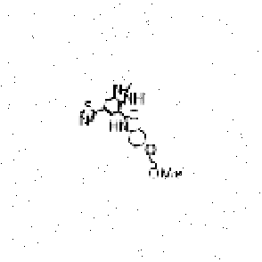 COCCO[C@H]1CC[C@H](NC(=O)c2cc(-c3cncs3)cc3nc(C)[nH]c23)CC1